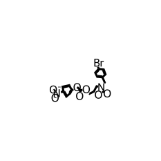 O=C(OCC1CN(Cc2ccc(Br)cc2)C(=O)O1)Oc1ccc([N+](=O)[O-])cc1